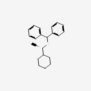 N#C[C@@H](NC(c1ccccc1)c1ccccc1)C1CCCCC1